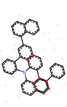 c1ccc(-c2ccccc2-c2ccccc2N(c2ccccc2-c2cccc(-c3cccc4ccccc34)c2)c2cccc3ccccc23)cc1